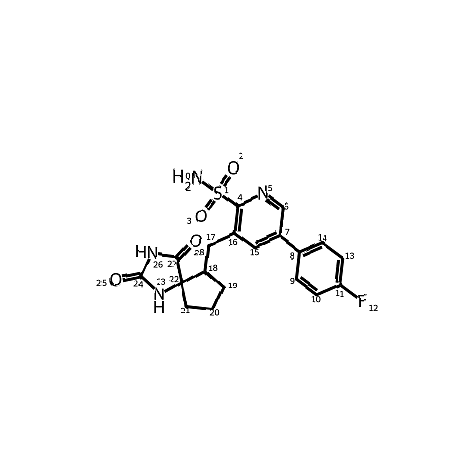 NS(=O)(=O)c1ncc(-c2ccc(F)cc2)cc1CC1CCCC12NC(=O)NC2=O